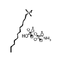 CCCCCCCCCCCC[N+](C)(C)C.COS(=O)(=O)O.COS(=O)(=O)[O-].N